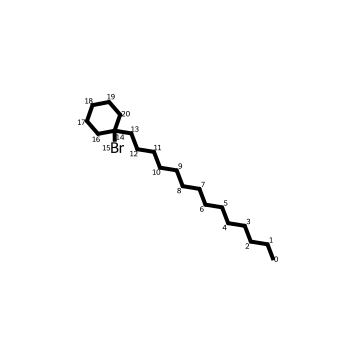 CCCCCCCCCCCCCCC1(Br)CCCCC1